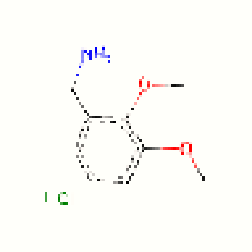 COc1cccc(CN)c1OC.Cl